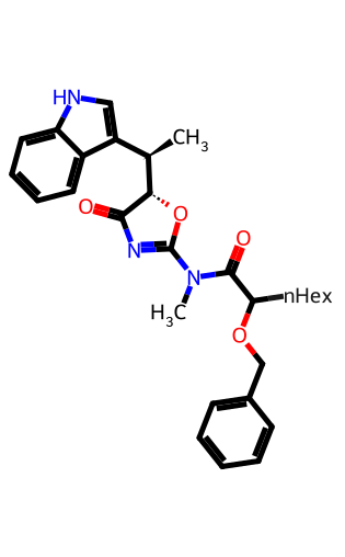 CCCCCCC(OCc1ccccc1)C(=O)N(C)C1=NC(=O)[C@H]([C@H](C)c2c[nH]c3ccccc23)O1